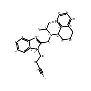 CC(C)N(Cc1nc2ccccc2n1CCC#N)C1CCCc2cccnc21